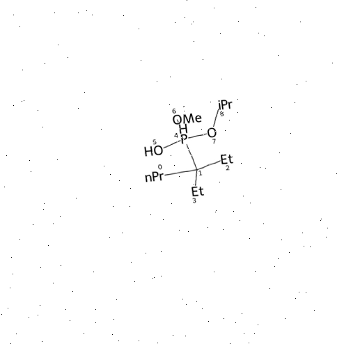 CCCC(CC)(CC)[PH](O)(OC)OC(C)C